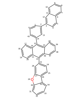 c1cc(-c2ccc3ccccc3c2)cc(-c2c3ccccc3c(-c3ccc4c(c3)oc3ccccc34)c3ccccc23)c1